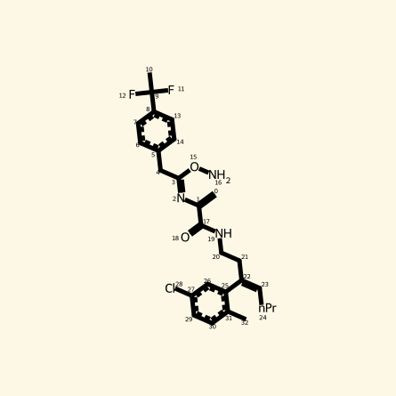 C=C(/N=C(/Cc1ccc(C(C)(F)F)cc1)ON)C(=O)NCC/C(=C/CCC)c1cc(Cl)ccc1C